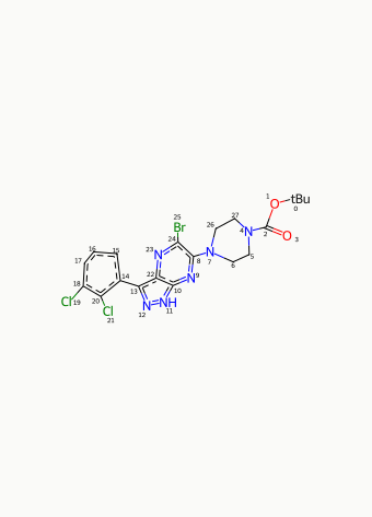 CC(C)(C)OC(=O)N1CCN(c2nc3[nH]nc(-c4cccc(Cl)c4Cl)c3nc2Br)CC1